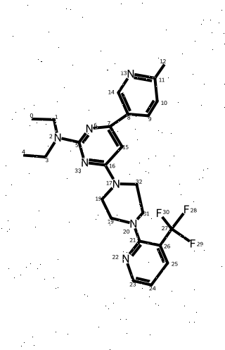 CCN(CC)c1nc(-c2ccc(C)nc2)cc(N2CCN(c3ncccc3C(F)(F)F)CC2)n1